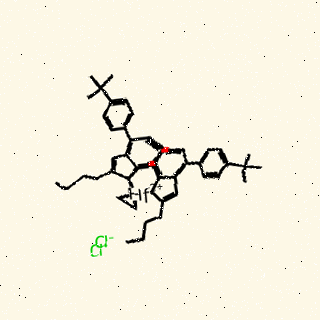 CCCCC1=Cc2c(-c3ccc(C(C)(C)C)cc3)cccc2[CH]1[Hf+2]1([CH]2C(CCCC)=Cc3c(-c4ccc(C(C)(C)C)cc4)cccc32)[CH2][CH2]1.[Cl-].[Cl-]